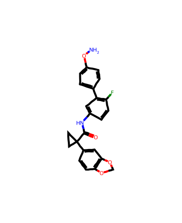 NOc1ccc(-c2cc(NC(=O)C3(c4ccc5c(c4)OCO5)CC3)ccc2F)cc1